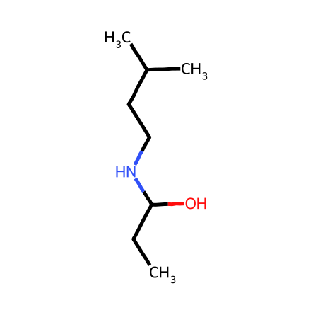 CCC(O)NCCC(C)C